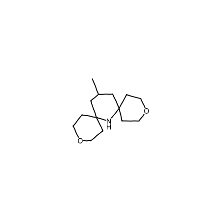 CC1CC2(CCOCC2)NC2(CCOCC2)C1